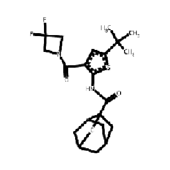 CC(C)(C)c1cc(C(=O)N2CC(F)(F)C2)c(NC(=O)C23CC4CC(CC2C4)C3)s1